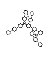 c1ccc(-c2ccc(-c3ccc(N(c4ccc(-c5ccc(-c6ccccc6-n6c7ccccc7c7ccc(-c8ccccc8)cc76)cc5)cc4)c4ccc5c(c4)C4(c6ccccc6-c6ccccc64)c4ccccc4-5)cc3)cc2)cc1